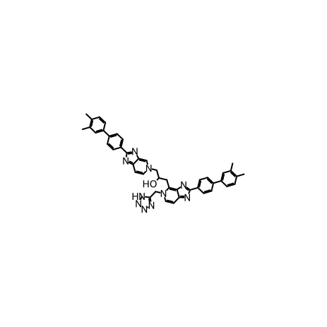 Cc1ccc(-c2ccc(-c3nc4ccn(CC(O)Cc5c6nc(-c7ccc(-c8ccc(C)c(C)c8)cc7)nc-6ccn5Cc5nnn[nH]5)cc-4n3)cc2)cc1C